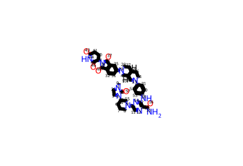 CN1CCN([C@@H]2CCCN(c3cnc(C(N)=O)c(Nc4ccc(N5CC[C@@H]6CCN(c7ccc8c(c7)C(=O)N(C7CCC(=O)NC7=O)C8=O)C[C@@H]6C5)cc4)n3)C2)C1=O